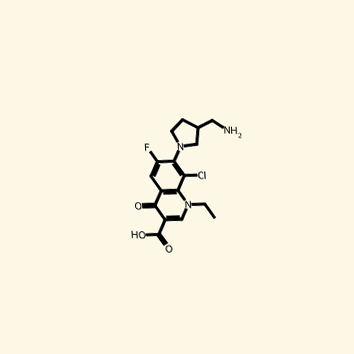 CCn1cc(C(=O)O)c(=O)c2cc(F)c(N3CCC(CN)C3)c(Cl)c21